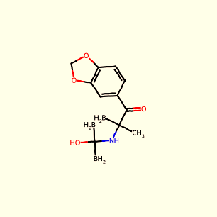 BC(B)(O)NC(B)(C)C(=O)c1ccc2c(c1)OCO2